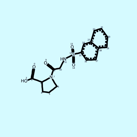 O=C(O)C1CCCN1C(=O)CNS(=O)(=O)c1ccc2ccccc2c1